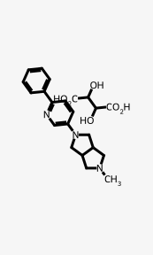 CN1CC2CN(c3ccc(-c4ccccc4)nc3)CC2C1.O=C(O)C(O)C(O)C(=O)O